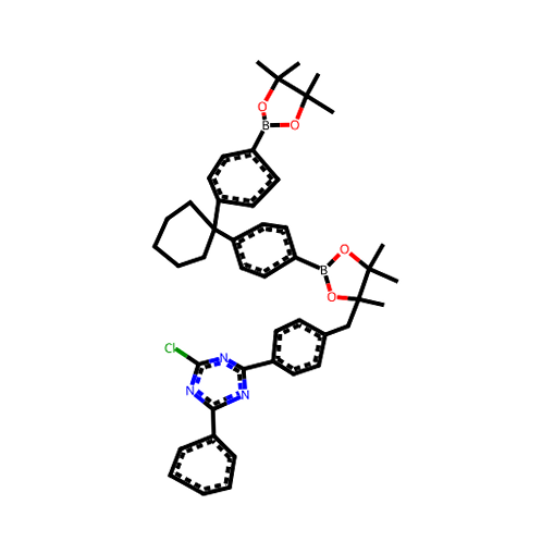 CC1(C)OB(c2ccc(C3(c4ccc(B5OC(C)(C)C(C)(Cc6ccc(-c7nc(Cl)nc(-c8ccccc8)n7)cc6)O5)cc4)CCCCC3)cc2)OC1(C)C